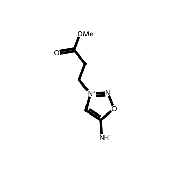 COC(=O)CC[n+]1cc([NH-])on1